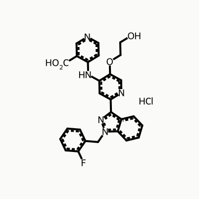 Cl.O=C(O)c1cnccc1Nc1cc(-c2nn(Cc3ccccc3F)c3ccccc23)ncc1OCCO